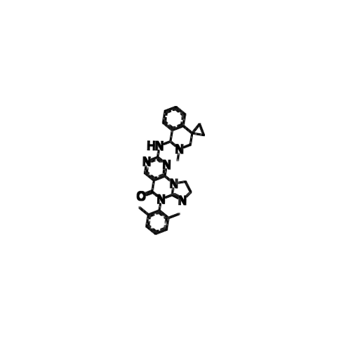 Cc1cccc(C)c1N1C(=O)c2cnc(NC3c4ccccc4C4(CC4)CN3C)nc2N2CCN=C21